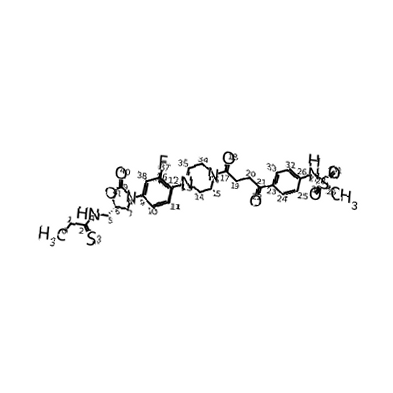 CCC(=S)NC[C@H]1CN(c2ccc(N3CCN(C(=O)CCC(=O)c4ccc(NS(C)(=O)=O)cc4)CC3)c(F)c2)C(=O)O1